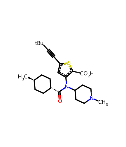 CN1CCC(N(c2cc(C#CC(C)(C)C)sc2C(=O)O)C(=O)[C@H]2CC[C@H](C)CC2)CC1